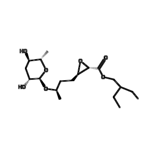 CCC(CC)COC(=O)[C@H]1O[C@@H]1CC[C@@H](C)O[C@@H]1O[C@@H](C)[C@H](O)C[C@H]1O